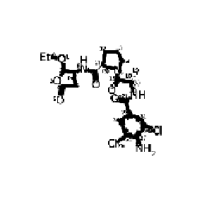 CCOC1OC(=O)C[C@@H]1NC(=O)[C@@H]1CCCN1C(=O)[C@H](C)NC(=O)c1cc(Cl)c(N)c(Cl)c1